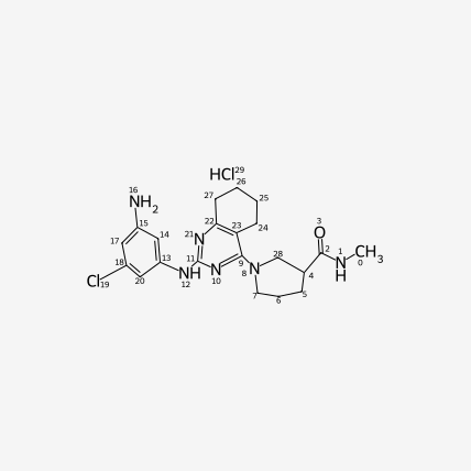 CNC(=O)C1CCCN(c2nc(Nc3cc(N)cc(Cl)c3)nc3c2CCCC3)C1.Cl